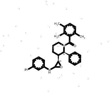 Cc1ccc(C)c(C(=O)N2CCCC([C@H]3OC3Nc3cccc(C(C)C)c3)[C@@H]2c2ccccc2)c1C